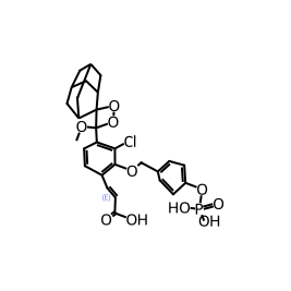 COC1(c2ccc(/C=C/C(=O)O)c(OCc3ccc(OP(=O)(O)O)cc3)c2Cl)OOC12C1CC3CC(C1)CC2C3